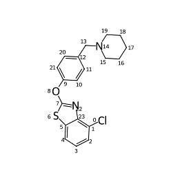 Clc1cccc2sc(Oc3ccc(CN4CCCCC4)cc3)nc12